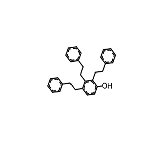 Oc1ccc(CCc2ccccc2)c(CCc2ccccc2)c1CCc1ccccc1